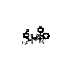 C[C@H](NC(=O)CO[Si](c1ccccc1)(c1ccccc1)C(C)(C)C)c1ccc(Br)s1